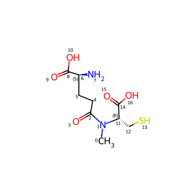 CN(C(=O)CC[C@H](N)C(=O)O)[C@@H](CS)C(=O)O